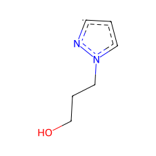 OCCCn1cc[c]n1